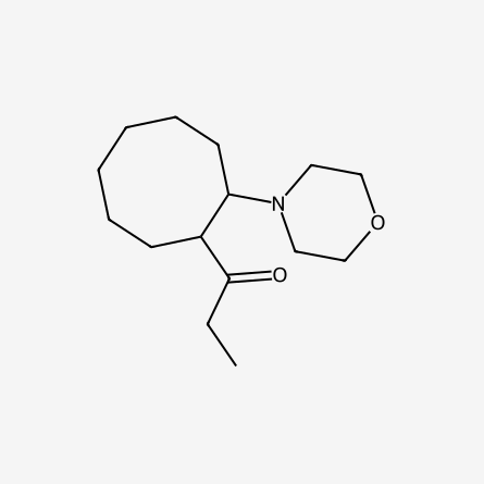 CCC(=O)C1CCCCCCC1N1CCOCC1